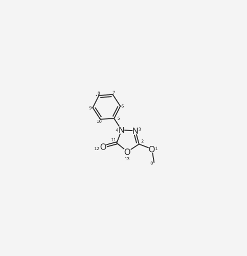 COc1nn(-c2cc[c]cc2)c(=O)o1